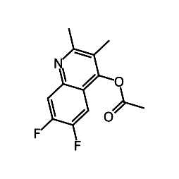 CC(=O)Oc1c(C)c(C)nc2cc(F)c(F)cc12